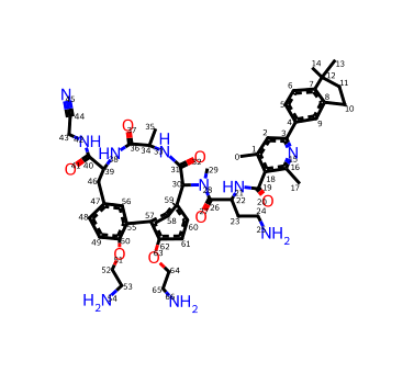 Cc1cc(-c2ccc3c(c2)CCC3(C)C)nc(C)c1C(=O)NC(CCN)C(=O)N(C)C1C(=O)NC(C)C(=O)NC(C(=O)NCC#N)Cc2ccc(OCCN)c(c2)-c2cc1ccc2OCCN